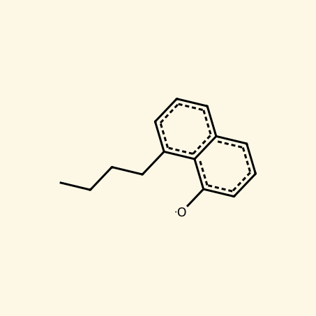 CCCCc1cccc2cccc([O])c12